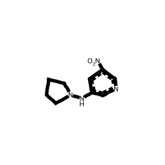 O=[N+]([O-])c1cncc(NN2CCCC2)c1